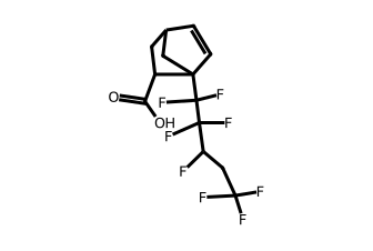 O=C(O)C1CC2C=CC1(C(F)(F)C(F)(F)C(F)CC(F)(F)F)C2